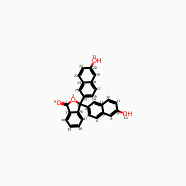 O=C1OC(c2ccc3cc(O)ccc3c2)(c2ccc3cc(O)ccc3c2)c2ccccc21